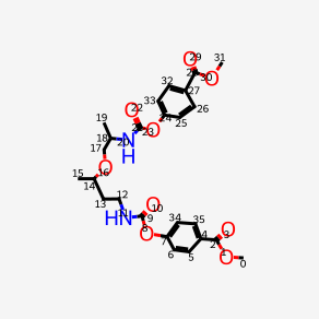 COC(=O)c1ccc(OC(=O)NCCC(C)OCC(C)NC(=O)Oc2ccc(C(=O)OC)cc2)cc1